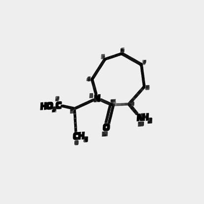 CC(C(=O)O)N1CCCCCC(N)C1=O